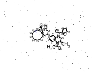 COC1NCC(c2ccc3c(c2)N(C(=O)c2ccco2)C[C@H](C)N3C(C)=O)CC12C/C=C\CCCCCC2